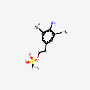 Cc1cc(CCOS(C)(=O)=O)cc(C#N)c1N